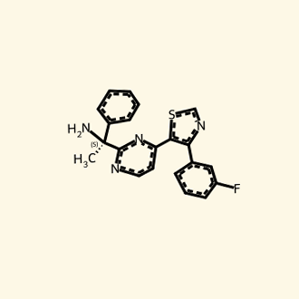 C[C@](N)(c1ccccc1)c1nccc(-c2scnc2-c2cccc(F)c2)n1